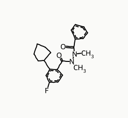 CN(C(=O)c1ccccc1)N(C)C(=O)c1ccc(F)cc1C1CCCCC1